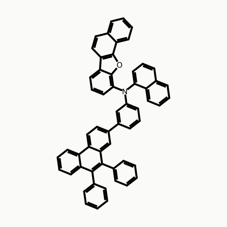 c1ccc(-c2c(-c3ccccc3)c3cc(-c4cccc(N(c5cccc6ccccc56)c5cccc6c5oc5c7ccccc7ccc65)c4)ccc3c3ccccc23)cc1